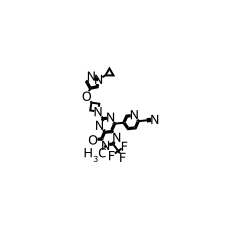 Cn1c(C(F)(F)F)nc2c(-c3ccc(C#N)nc3)nc(N3CC(Oc4cnn(C5CC5)c4)C3)nc2c1=O